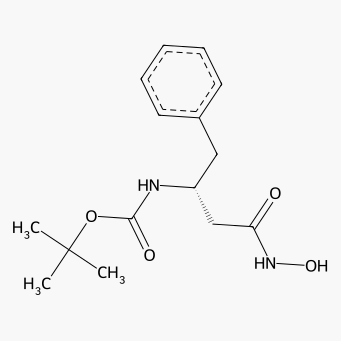 CC(C)(C)OC(=O)N[C@@H](CC(=O)NO)Cc1ccccc1